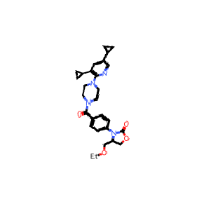 CCOCC1COC(=O)N1c1ccc(C(=O)N2CCN(c3ncc(C4CC4)cc3C3CC3)CC2)cc1